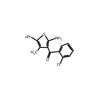 CCCc1sc(N)c(C(=O)c2ccccc2Cl)c1C